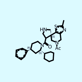 CC(=O)N1Cc2nc(C)sc2[C@@]2(CNCC2C(=O)N2CC[C@@H](c3ccccc3)C[C@H]2C2CCCCC2)C1